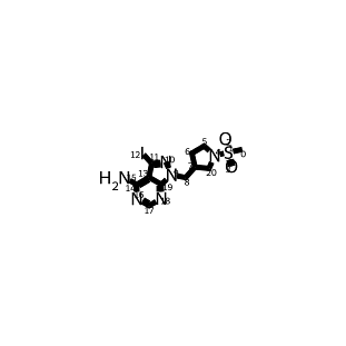 CS(=O)(=O)N1CCC(Cn2nc(I)c3c(N)ncnc32)C1